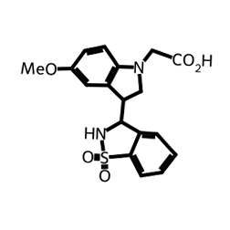 COc1ccc2c(c1)C(C1NS(=O)(=O)c3ccccc31)CN2CC(=O)O